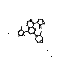 Cc1cscc1-c1cc(N2CCOCC2C)nc2c(-c3ccn[nH]3)nccc12